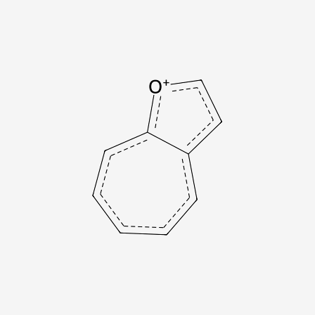 c1ccc2cc[o+]c-2cc1